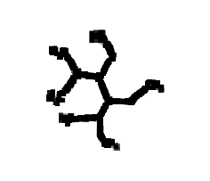 CCN(C(C)C)N(SS)N(C)C